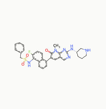 Cn1c(=O)c(-c2cccc3c(NS(=O)(=O)Cc4ccccc4)c(F)ccc23)cc2cnc(N[C@H]3CCCNC3)nc21